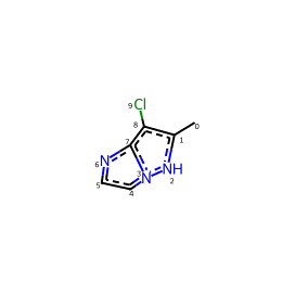 Cc1[nH]n2ccnc2c1Cl